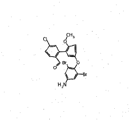 COc1ccc(Oc2c(Br)cc(N)cc2Br)cc1-c1cc(Cl)ccc1C=O